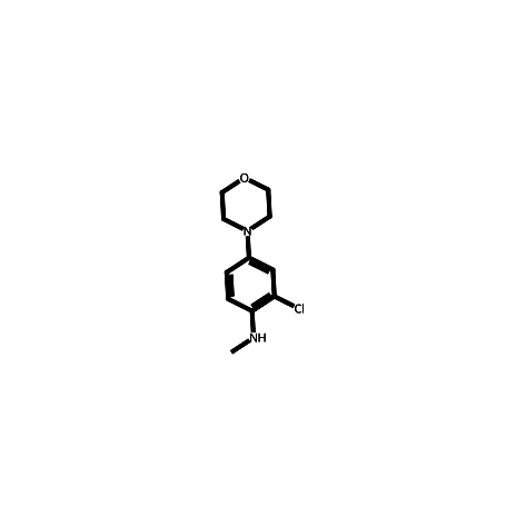 CNc1ccc(N2CCOCC2)cc1Cl